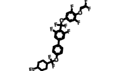 CCC1CCC(C(F)(F)Oc2ccc(-c3cc(F)c(C(F)(F)Oc4cc(F)c(OC=C(F)F)c(F)c4)c(F)c3)cc2)CC1